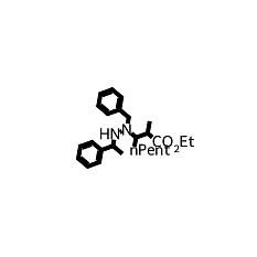 CCCCCC(C(C)C(=O)OCC)N(Cc1ccccc1)NC(C)c1ccccc1